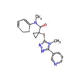 CN(C(=O)C1(Sc2nnc(-c3cccnc3)n2C)CC1)C1=CC=CCC1